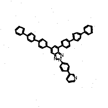 c1ccc(-c2ccc(-c3ccc(-c4cc(-c5ccc(-c6ccc(-c7ccccc7)cc6)cc5)c5nn(-c6ccc(-c7cccnc7)cc6)nc5c4)cc3)cc2)cc1